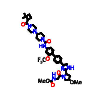 COC(=O)NCC(=O)N1CC(OC)CC1c1nc(-c2ccc(-c3ccc(NC(=O)N4CCC(N5CCN(C(=O)C6CCC6(C)C)CC5)CC4)cc3OC(F)(F)F)cc2)c[nH]1